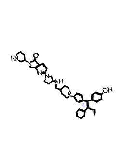 CC/C(=C(\c1ccc(O)cc1)c1ccc(N2CCC(CNC3CCN(c4ccc5c(n4)CN(C4CCCNC4)C5=O)C3)CC2)cc1)c1ccccc1